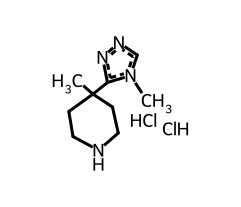 Cl.Cl.Cn1cnnc1C1(C)CCNCC1